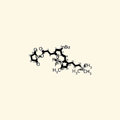 CCCCC1=CC(CCC(=O)ON2C(=O)CCC2=O)=[N+]2C1=Cc1c(CCC[N+](C)(C)C)cc(C)n1[B-]2(F)F